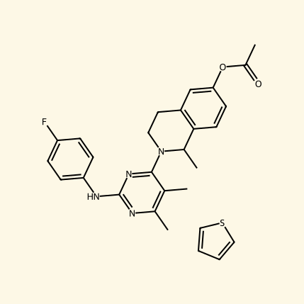 CC(=O)Oc1ccc2c(c1)CCN(c1nc(Nc3ccc(F)cc3)nc(C)c1C)C2C.c1ccsc1